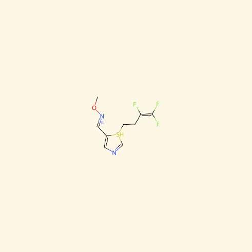 CO/N=C/C1=CN=C[SH]1CCC(F)=C(F)F